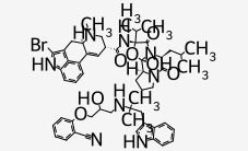 CC(C)(Cc1c[nH]c2ccccc12)NCC(O)COc1ccccc1C#N.CC(C)C[C@H]1C(=O)N2CCC[C@H]2[C@]2(O)O[C@](NC(=O)[C@@H]3C=C4c5cccc6[nH]c(Br)c(c56)C[C@H]4N(C)C3)(C(C)C)C(=O)N12